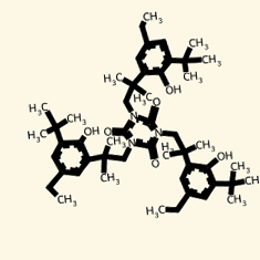 CCc1cc(C(C)(C)C)c(O)c(C(C)(C)Cn2c(=O)n(CC(C)(C)c3cc(CC)cc(C(C)(C)C)c3O)c(=O)n(CC(C)(C)c3cc(CC)cc(C(C)(C)C)c3O)c2=O)c1